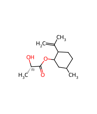 C=C(C)C1CCC(C)CC1OC(=O)[C@H](C)O